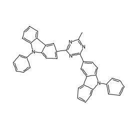 Cc1nc(-c2ccc3c(c2)c2ccccc2n3-c2ccccc2)nc(-c2ccc3c(c2)c2ccccc2n3-c2ccccc2)n1